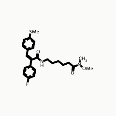 CON(C)C(=O)CCCCCNC(=O)/C(=C\c1ccc(SC)cc1)c1ccc(F)cc1